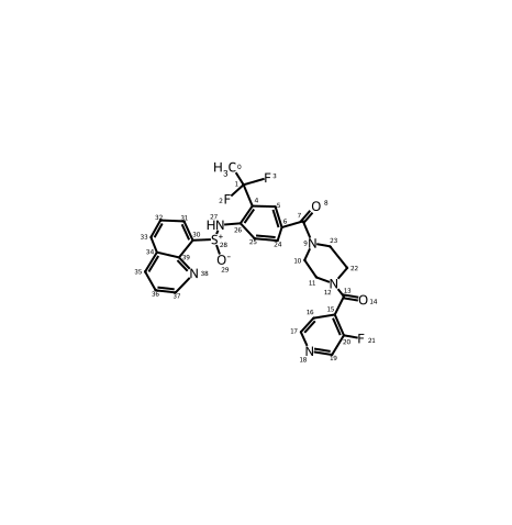 CC(F)(F)c1cc(C(=O)N2CCN(C(=O)c3ccncc3F)CC2)ccc1N[S+]([O-])c1cccc2cccnc12